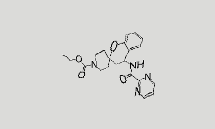 CCOC(=O)N1CCC2(CC1)CC(NC(=O)c1ncccn1)c1ccccc1O2